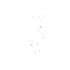 COc1ccccc1CC(=O)Nc1nnc(Sc2ccnc3cc(Cl)ccc23)s1